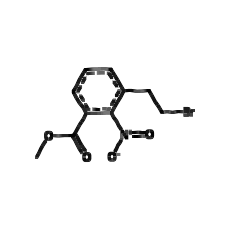 COC(=O)c1cccc(CCBr)c1[N+](=O)[O-]